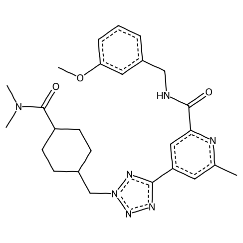 COc1cccc(CNC(=O)c2cc(-c3nnn(CC4CCC(C(=O)N(C)C)CC4)n3)cc(C)n2)c1